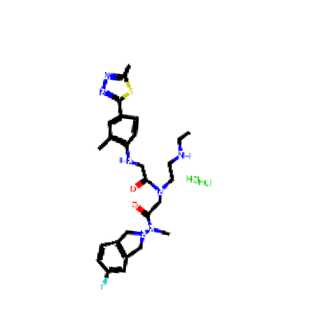 CCNCCN(CC(=O)N(C)N1Cc2ccc(F)cc2C1)C(=O)CNc1ccc(-c2nnc(C)s2)cc1C.Cl.Cl